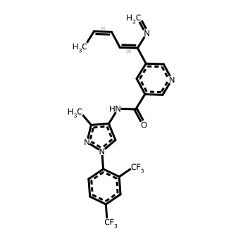 C=N/C(=C\C=C/C)c1cncc(C(=O)Nc2cn(-c3ccc(C(F)(F)F)cc3C(F)(F)F)nc2C)c1